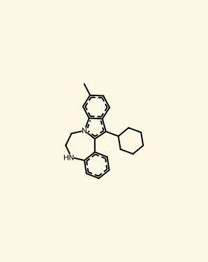 Cc1ccc2c(C3CCCCC3)c3n(c2c1)CCNc1ccccc1-3